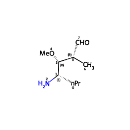 CCC[C@H](N)[C@H](OC)[C@@H](C)C=O